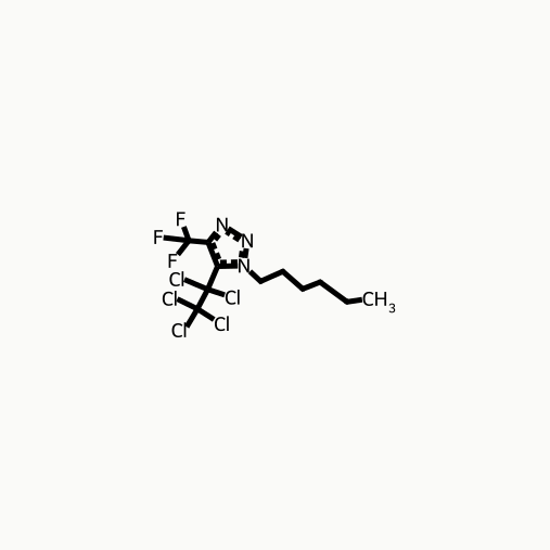 CCCCCCn1nnc(C(F)(F)F)c1C(Cl)(Cl)C(Cl)(Cl)Cl